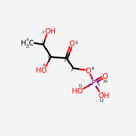 CC(O)C(O)C(=O)COP(=O)(O)O